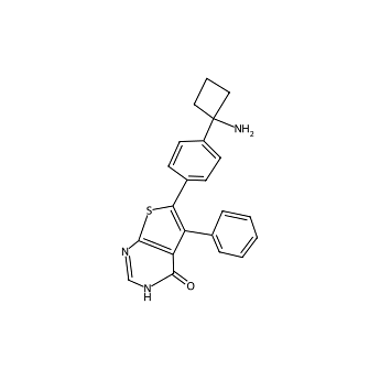 NC1(c2ccc(-c3sc4nc[nH]c(=O)c4c3-c3ccccc3)cc2)CCC1